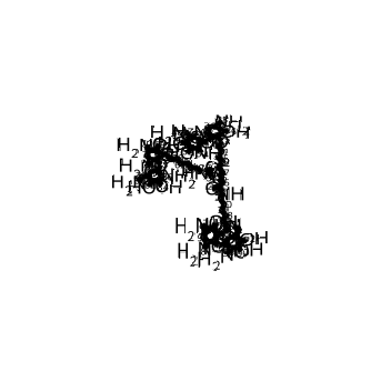 NCC1OC(OC2C(N)CC(N)C(O)C2OCCCCCCNC(=O)CN(CCCCCCOC2C(O)C(N)CC(N)C2OC2OC(CN)C(O)C(O)C2N)CC(=O)NCCCCCCOC2C(O)C(N)CC(N)C2OC2OC(CN)C(O)C(O)C2N)C(N)C(O)C1O